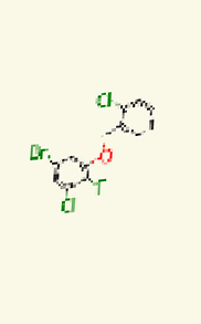 Fc1c(Cl)cc(Br)cc1OCc1ccccc1Cl